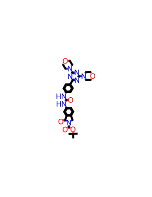 CC(C)(C)OC(=O)N1Cc2ccc(NC(=O)Nc3ccc(-c4nc(N5CCOCC5)nc(N5CCOCC5)n4)cc3)cc2C1=O